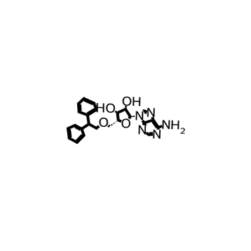 Nc1ncnc2c1ncn2[C@@H]1O[C@H](COCC(c2ccccc2)c2ccccc2)[C@@H](O)[C@H]1O